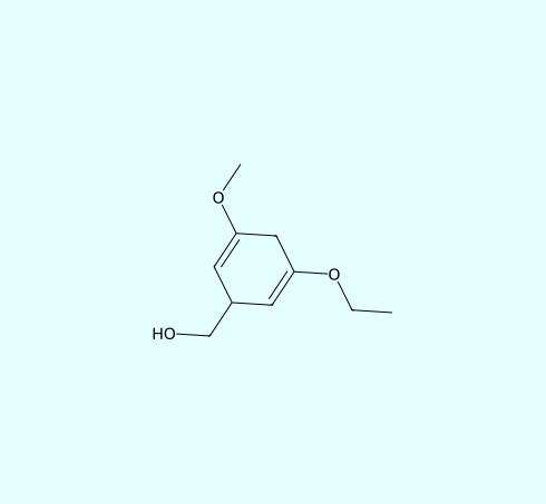 CCOC1=CC(CO)C=C(OC)C1